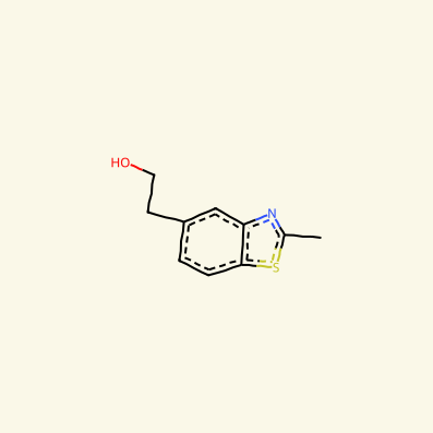 Cc1nc2cc(CCO)ccc2s1